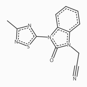 Cc1nsc(-n2c(=O)n(CC#N)c3ccccc32)n1